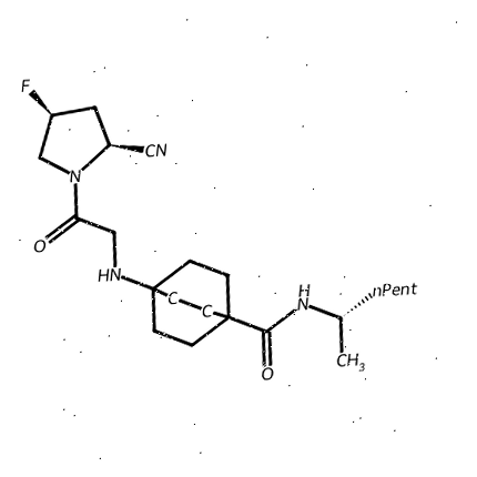 CCCCC[C@H](C)NC(=O)C12CCC(NCC(=O)N3C[C@@H](F)C[C@H]3C#N)(CC1)CC2